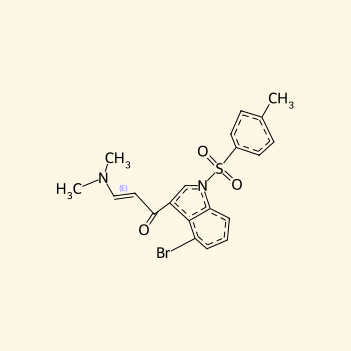 Cc1ccc(S(=O)(=O)n2cc(C(=O)/C=C/N(C)C)c3c(Br)cccc32)cc1